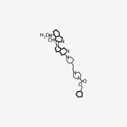 CN(C)c1cccc2cnc(-n3ccc4cc(N5CCC(CCN6CCN(C(=O)OCc7ccccc7)CC6)CC5)ncc43)cc12